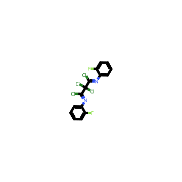 Fc1ccccc1N=C(Cl)C(Cl)(Cl)C(Cl)=Nc1ccccc1F